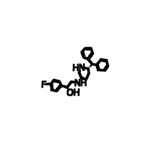 O[C@@H](CN[C@H]1CC[C@@H](C(c2ccccc2)c2ccccc2)NC1)c1ccc(F)cc1